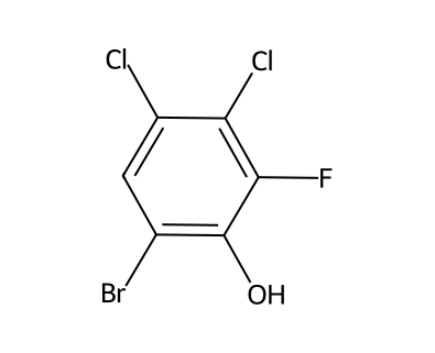 Oc1c(Br)cc(Cl)c(Cl)c1F